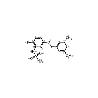 COC1=CC(COc2ncc(F)c(NS(N)(=O)=O)n2)=C[C@H](C)C1